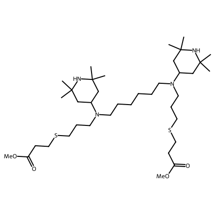 COC(=O)CCSCCCN(CCCCCCN(CCCSCCC(=O)OC)C1CC(C)(C)NC(C)(C)C1)C1CC(C)(C)NC(C)(C)C1